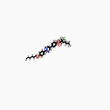 CCCCCCOc1ccc(-c2ncc(-c3ccc(OC(=O)C(C)(F)CCCCC)cc3)cn2)cc1